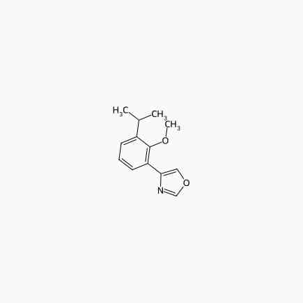 COc1c(-c2cocn2)cccc1C(C)C